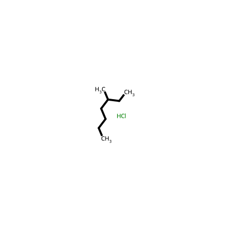 CCCCC(C)CC.Cl